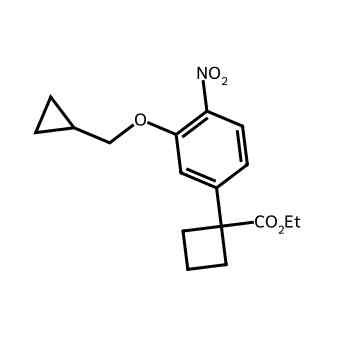 CCOC(=O)C1(c2ccc([N+](=O)[O-])c(OCC3CC3)c2)CCC1